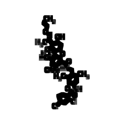 C=CCO/N=C(\C)C1=C(O)C=C2Oc3c(C(=O)NCc4c(C)cc(NS(=O)(=O)c5ccc(Cl)cc5Cl)cc4C)c(OC)cc(O)c3[C@]2(C)C1=O